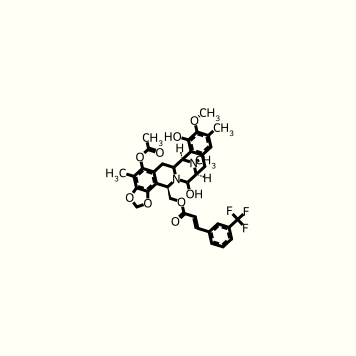 COc1c(C)cc2c(c1O)[C@@H]1C3Cc4c(OC(C)=O)c(C)c5c(c4[C@H](COC(=O)/C=C/c4cccc(C(F)(F)F)c4)N3C(O)[C@H](C2)N1C)OCO5